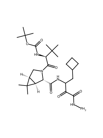 CC(C)(C)OC(=O)N[C@H](C(=O)N1C[C@H]2[C@@H]([C@H]1C(=O)NC(CC1CCC1)C(=O)C(=O)NP)C2(C)C)C(C)(C)C